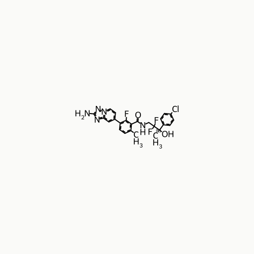 Cc1ccc(-c2ccn3nc(N)nc3c2)c(F)c1C(=O)NCC(F)(F)[C@](C)(O)c1ccc(Cl)cc1